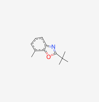 Cc1cccc2nc(C(C)(C)C)oc12